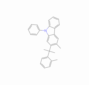 Cc1ccccc1C(C)(C)c1cc2c(cc1C)c1ccccc1n2-c1ccccc1